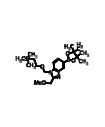 COCc1nc2cc(B3OC(C)(C)C(C)(C)O3)ccc2n1COCC[Si](C)(C)C